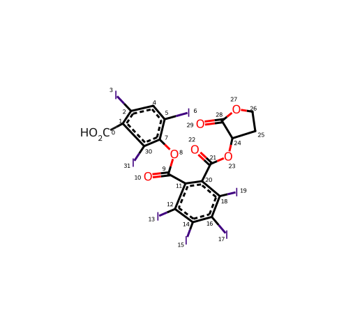 O=C(O)c1c(I)cc(I)c(OC(=O)c2c(I)c(I)c(I)c(I)c2C(=O)OC2CCOC2=O)c1I